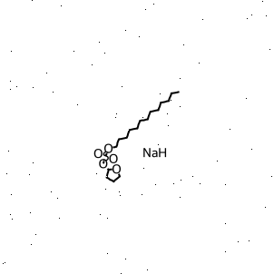 CCCCCCCCCCCCCOS(=O)(=O)OC1CCCO1.[NaH]